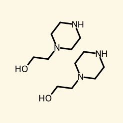 OCCN1CCNCC1.OCCN1CCNCC1